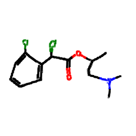 CC(CN(C)C)OC(=O)[C@H](Cl)c1ccccc1Cl